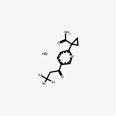 Br.[2H]C([2H])([2H])CC(=O)c1ccc(C2(C(N)=O)CC2)nc1